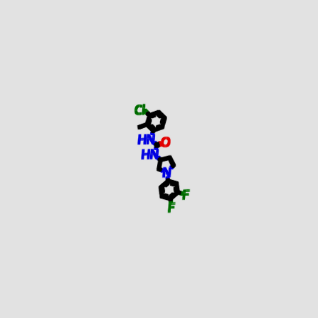 Cc1c(Cl)cccc1NC(=O)NC1CCN(c2ccc(F)c(F)c2)C1